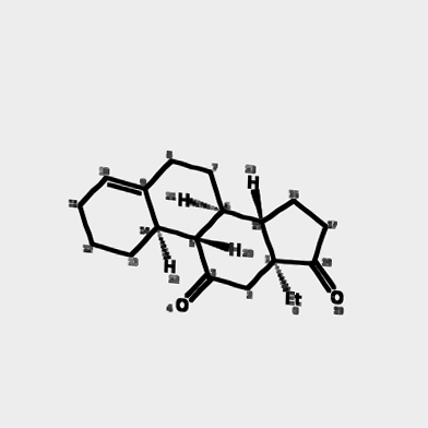 CC[C@]12CC(=O)[C@H]3[C@@H](CCC4=CCCC[C@@H]43)[C@@H]1CCC2=O